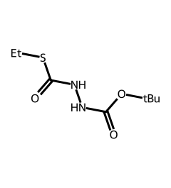 CCSC(=O)NNC(=O)OC(C)(C)C